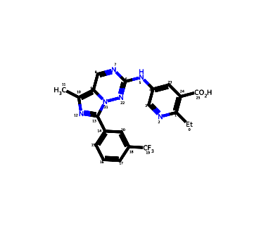 CCc1ncc(Nc2ncc3c(C)nc(-c4cccc(C(F)(F)F)c4)n3n2)cc1C(=O)O